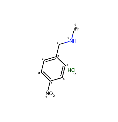 CC(C)NCc1ccc([N+](=O)[O-])cc1.Cl